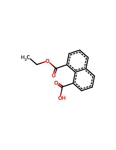 CCOC(=O)c1cccc2cccc(C(=O)O)c12